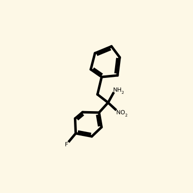 NC(Cc1ccccc1)(c1ccc(F)cc1)[N+](=O)[O-]